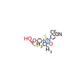 CC1(C)C(=O)N(c2ccc(C#N)c(C(F)(F)F)c2)C(=S)N1c1ccc2c(c1)SCC[C@@H](CO)O2